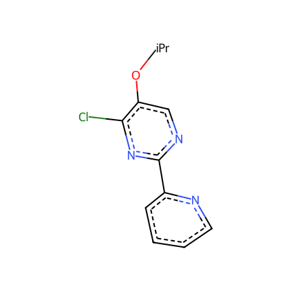 CC(C)Oc1cnc(-c2ccccn2)nc1Cl